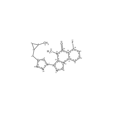 CC1CC1Cc1cn(-c2ncn3c4cccc(F)c4c(=O)n(C)c23)nn1